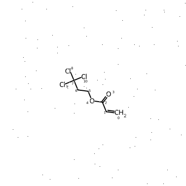 C=CC(=O)OCCC(Cl)(Cl)Cl